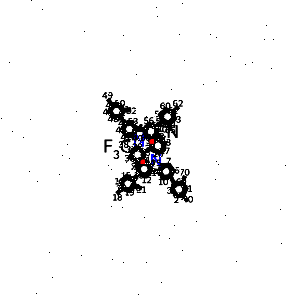 Cc1ccc(-c2ccc3c(c2)c2cc(-c4ccc(C)cc4C)ccc2n3-c2ccc(C#N)cc2-c2cccc(C(F)(F)F)c2-n2c3ccc(-c4ccc(C)cc4C)cc3c3cc(-c4ccc(C)cc4C)ccc32)c(C)c1